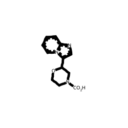 O=C(O)N1CCOC(c2cnc3ccccn23)C1